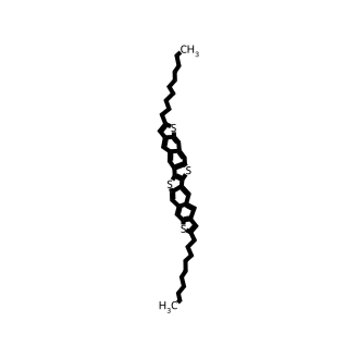 CCCCCCCCCCc1cc2cc3cc4c(cc3cc2s1)sc1c2cc3cc5cc(CCCCCCCCCC)sc5cc3cc2sc41